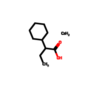 CCC(C(=O)O)C1CCCCC1.[CaH2]